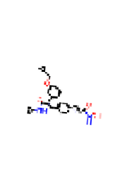 O=C(/C=C/c1ccc(/C=C(/C(=O)NC2CC2)c2cccc(OCC3CC3)c2)cc1)NO